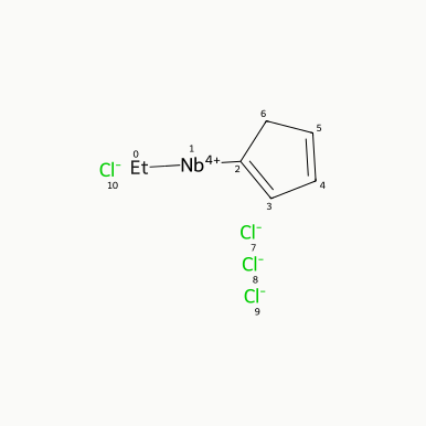 C[CH2][Nb+4][C]1=CC=CC1.[Cl-].[Cl-].[Cl-].[Cl-]